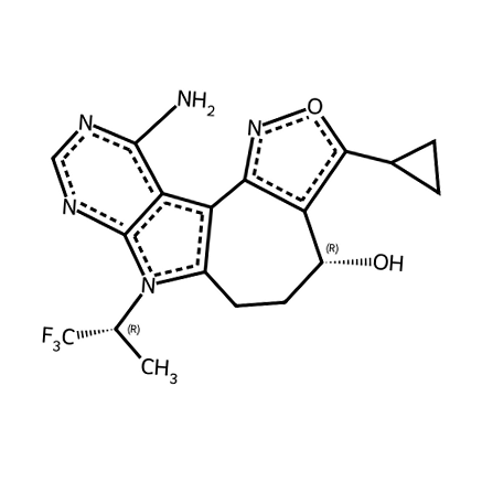 C[C@@H](n1c2c(c3c(N)ncnc31)-c1noc(C3CC3)c1[C@H](O)CC2)C(F)(F)F